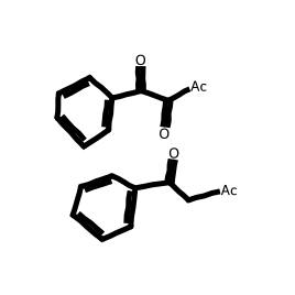 CC(=O)C(=O)C(=O)c1ccccc1.CC(=O)CC(=O)c1ccccc1